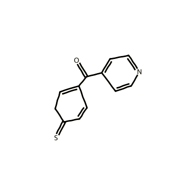 O=C(C1=CCC(=S)C=C1)c1ccncc1